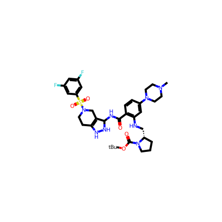 CN1CCN(c2ccc(C(=O)NC3NNC4=C3CN(S(=O)(=O)c3cc(F)cc(F)c3)CC4)c(NC[C@@H]3CCCN3C(=O)OC(C)(C)C)c2)CC1